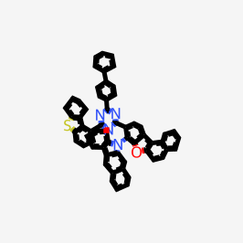 c1ccc(-c2ccc(-c3nc(-c4ccc5c(oc6ccc7ccccc7c65)c4-n4c5ccccc5c5cc6ccccc6cc54)nc(-c4cccc5sc6ccccc6c45)n3)cc2)cc1